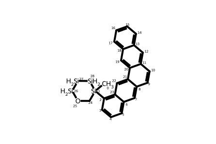 C[Si]1(c2cccc3cc4ccc5cc6ccccc6cc5c4cc23)CO[SiH2][SiH2][SiH2]1